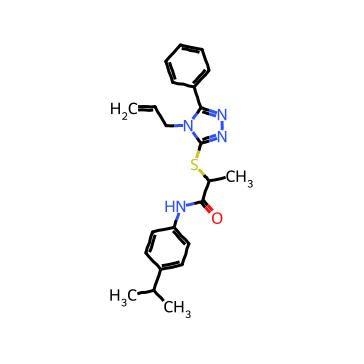 C=CCn1c(SC(C)C(=O)Nc2ccc(C(C)C)cc2)nnc1-c1ccccc1